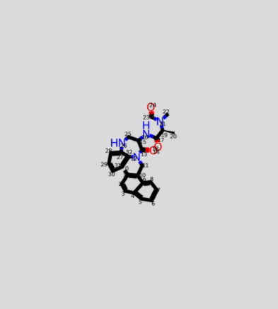 Cc1ccc2ccccc2c1CN1C(=O)C(NC(=O)[C@H](C)N(C)C=O)CNc2ccccc21